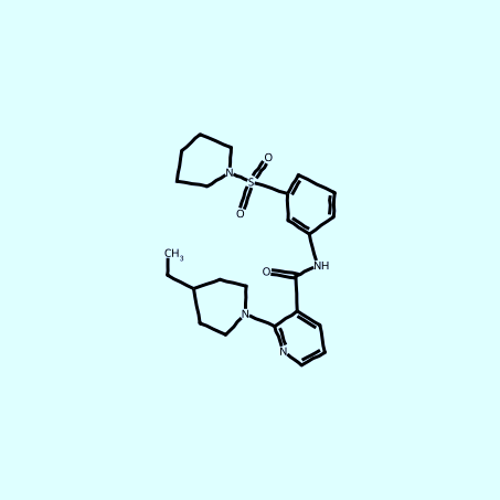 CCC1CCN(c2ncccc2C(=O)Nc2cccc(S(=O)(=O)N3CCCCC3)c2)CC1